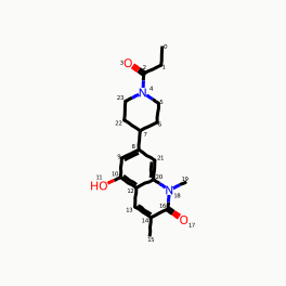 CCC(=O)N1CCC(c2cc(O)c3cc(C)c(=O)n(C)c3c2)CC1